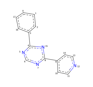 c1ccc(-c2ncnc(-c3ccncc3)n2)cc1